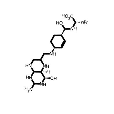 CCC[C@H](NC(O)[C@H]1C=C[C@@H](NCC2CNC3NC(N)N[C@H](O)[C@@H]3N2)CC1)C(=O)O